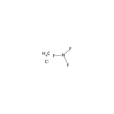 C.FN(F)F.[C]